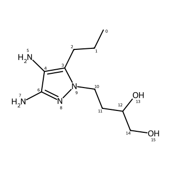 CCCc1c(N)c(N)nn1CCC(O)CO